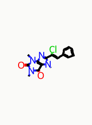 Cn1c(=O)c2c(nc(C(Cl)=Cc3ccccc3)n2C)n(C)c1=O